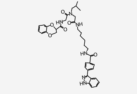 CC(C)CN(CC(=O)NCCCCCCNC(=O)c1ccc(-c2n[nH]c3ccccc23)cc1)C(=O)CNC(=O)C1COc2ccccc2O1